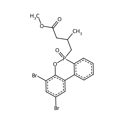 COC(=O)CC(C)CP1(=O)Oc2c(Br)cc(Br)cc2-c2ccccc21